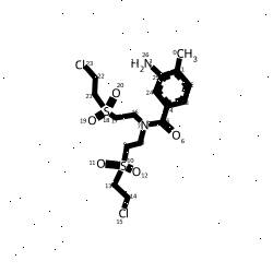 Cc1ccc(C(=O)N(CCS(=O)(=O)CCCl)CCS(=O)(=O)CCCl)cc1N